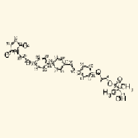 CC(C)(CO)C(=O)OCCOc1ccc(/C=C/c2ccc(-c3ccc(OCCN4C(=O)C=CC4=O)cc3)cc2)cc1